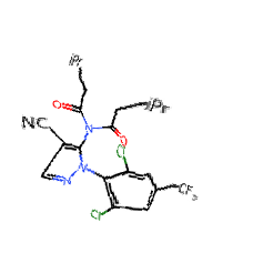 CC(C)CC(=O)N(C(=O)CC(C)C)c1c(C#N)cnn1-c1c(Cl)cc(C(F)(F)F)cc1Cl